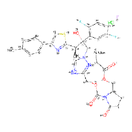 CNCC(=O)OCC1CCC(=O)N1C(=O)OCC1=NN(C[C@](O)(c2cc(F)ccc2F)[C@@H](C)c2nc(-c3ccc(C#N)cc3)cs2)C=[N+]1.Cl.[I-]